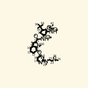 COc1c(NC(=O)c2cc3cccc(Oc4ccnc(N(C)CCN(C)C)n4)c3n2C)cc(C(C)(C)C)cc1NS(C)(=O)=O